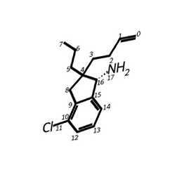 C=CCCC1(CCC)Cc2c(Cl)cccc2[C@H]1N